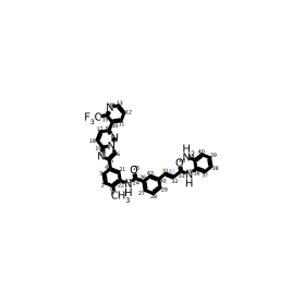 Cc1ccc(-c2cn3nc(-c4cccnc4C(F)(F)F)ccc3n2)cc1NC(=O)c1cccc(/C=C/C(=O)Nc2ccccc2N)c1